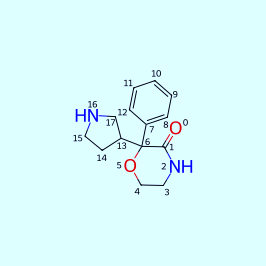 O=C1NCCOC1(c1ccccc1)C1CCNC1